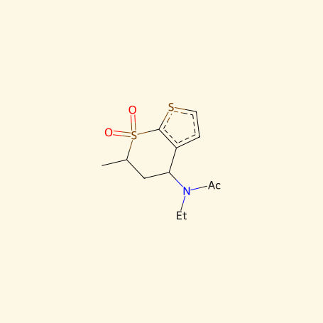 CCN(C(C)=O)C1CC(C)S(=O)(=O)c2sccc21